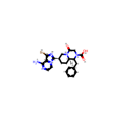 Nc1nccn2c([C@@H]3CC[C@@H]4C(Cc5ccccc5)N(C(=O)O)CC(=O)N4C3)nc(Br)c12